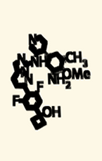 CO[C@@H]1[C@H](N)C[C@H](c2ccncc2Nc2ncc3ccc(-c4c(F)cc(C5(O)CCC5)cc4F)nn23)C[C@@H]1C